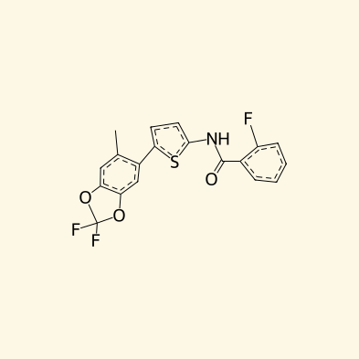 Cc1cc2c(cc1-c1ccc(NC(=O)c3ccccc3F)s1)OC(F)(F)O2